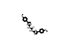 CSc1ccc(-c2csc(NC(=O)Nc3nc(-c4ccc(SC)cc4)cs3)n2)cc1